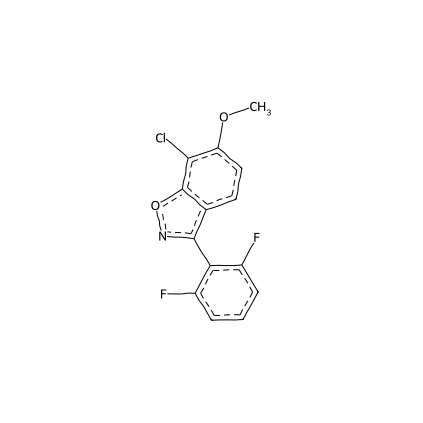 COc1ccc2c(-c3c(F)cccc3F)noc2c1Cl